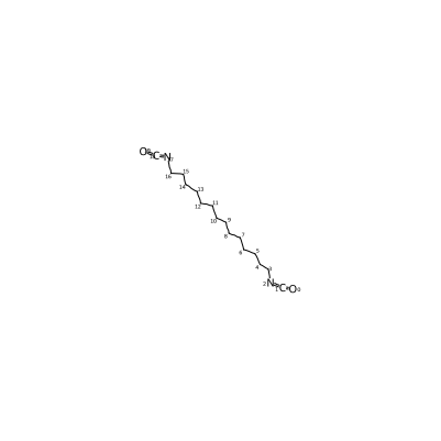 O=C=NCCCCCCCCCCCCCCN=C=O